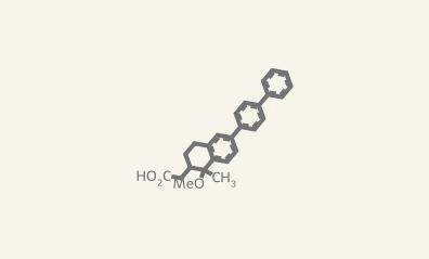 COC1(C)c2ccc(-c3ccc(-c4ccccc4)cc3)cc2CCC1CC(=O)O